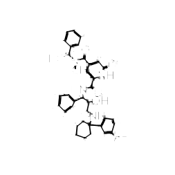 C[C@H](c1ccccc1)N(C)C(=O)c1cc(C(=O)N[C@@H](c2ccccc2)[C@H](O)CNC2(c3cccc(C(F)(F)F)c3)CCCCC2)[nH]c(=O)c1